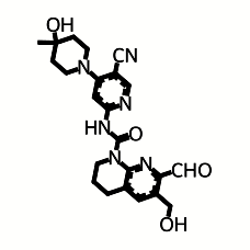 CC1(O)CCN(c2cc(NC(=O)N3CCCc4cc(CO)c(C=O)nc43)ncc2C#N)CC1